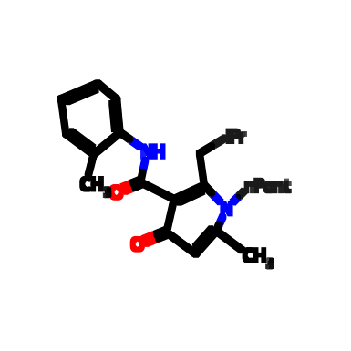 CCCCCn1c(C)cc(=O)c(C(=O)Nc2ccccc2C)c1CC(C)C